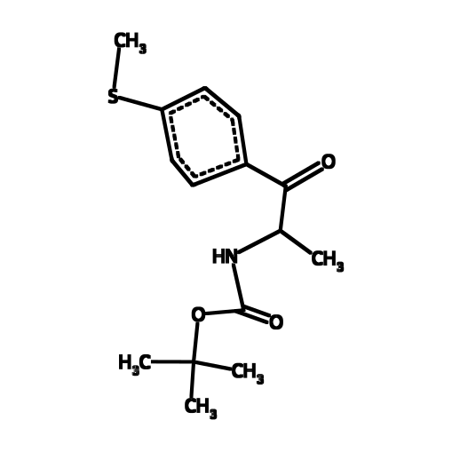 CSc1ccc(C(=O)C(C)NC(=O)OC(C)(C)C)cc1